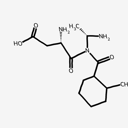 CC1CCCCC1C(=O)N(C(=O)[C@@H](N)CC(=O)O)[C@H](C)N